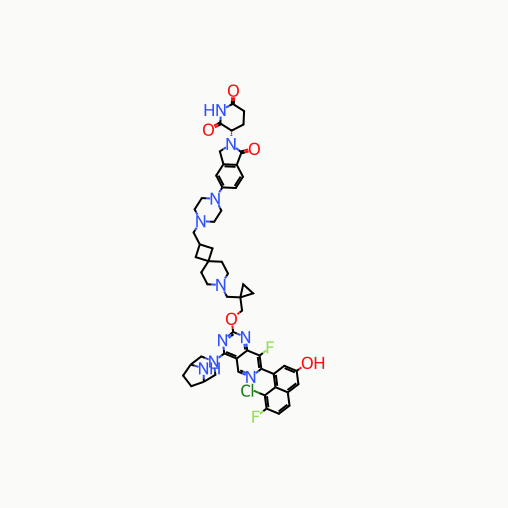 O=C1CC[C@H](N2Cc3cc(N4CCN(CC5CC6(CCN(CC7(COc8nc(N9CC%10CCC(C9)N%10)c9cnc(-c%10cc(O)cc%11ccc(F)c(Cl)c%10%11)c(F)c9n8)CC7)CC6)C5)CC4)ccc3C2=O)C(=O)N1